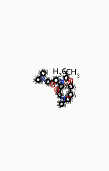 CC(C)c1cc2c3c(c1)-n1c4ccc5c6cc(-n7c8ccccc8c8ccccc87)ccc6oc5c4c4c5oc6ccc(-n7c8ccccc8c8ccccc87)cc6c5cc(c41)B3c1cc(-c3ccccc3)ccc1O2